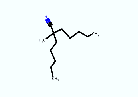 CCCCCC(C)(C#N)CCCCC